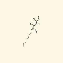 C=CC(=O)NC(=O)N(C=C)CCCCCCCC